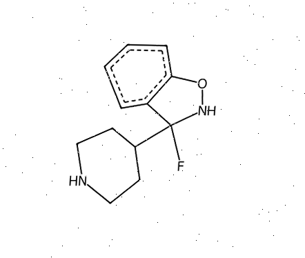 FC1(C2CCNCC2)NOc2ccccc21